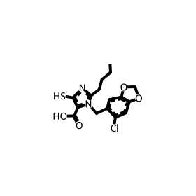 CCCCc1nc(S)c(C(=O)O)n1Cc1cc2c(cc1Cl)OCO2